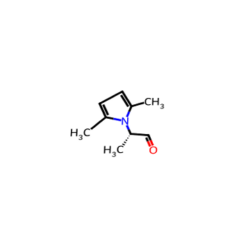 Cc1ccc(C)n1[C@@H](C)C=O